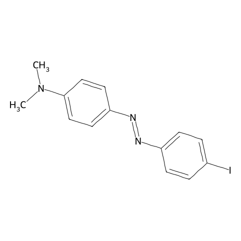 CN(C)c1ccc(N=Nc2ccc(I)cc2)cc1